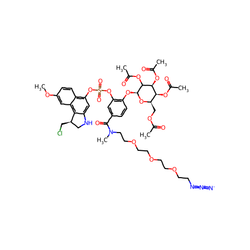 COc1ccc2c(OS(=O)(=O)Oc3cc(C(=O)N(C)CCOCCOCCOCCN=[N+]=[N-])ccc3O[C@@H]3O[C@H](COC(C)=O)[C@H](OC(C)=O)[C@H](OC(C)=O)C3OC(C)=O)cc3c(c2c1)[C@H](CCl)CN3